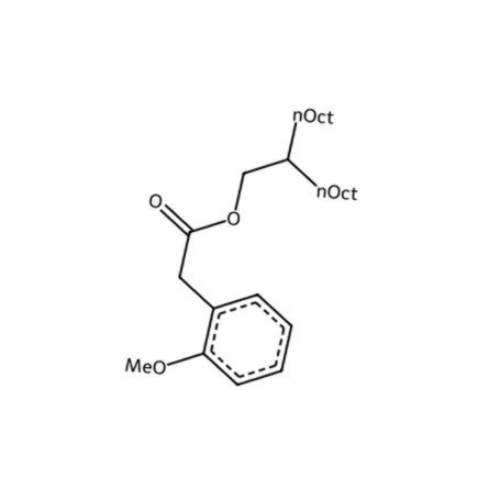 CCCCCCCCC(CCCCCCCC)COC(=O)Cc1ccccc1OC